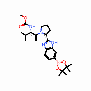 C=C([C@@H](NC(=O)OC)C(C)C)N1CCC[C@H]1c1nc2ccc(B3OC(C)(C)C(C)(C)O3)cc2[nH]1